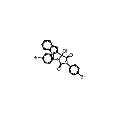 O=C1N(c2ccc(Br)cc2)C(=O)C(O)(c2cc3ccccc3[nH]2)N1c1ccc(Br)cc1